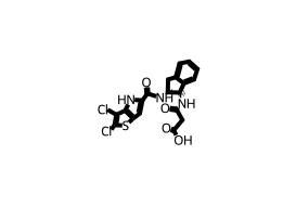 O=C(O)CC(=O)N[C@H]1c2ccccc2C[C@@H]1NC(=O)c1cc2sc(Cl)c(Cl)c2[nH]1